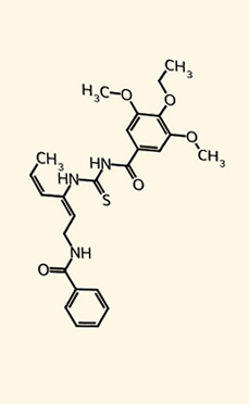 C/C=C\C(=C/CNC(=O)c1ccccc1)NC(=S)NC(=O)c1cc(OC)c(OCC)c(OC)c1